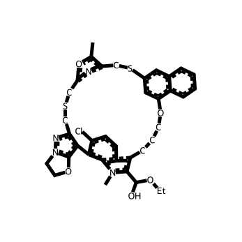 CCOC(O)c1c2c3ccc(Cl)c(c3n1C)-c1c(nn3c1OCC3)CSCc1nc(c(C)o1)CSc1cc(c3ccccc3c1)OCCC2